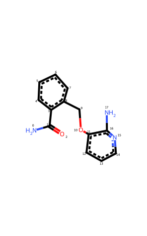 NC(=O)c1ccccc1COc1cccnc1N